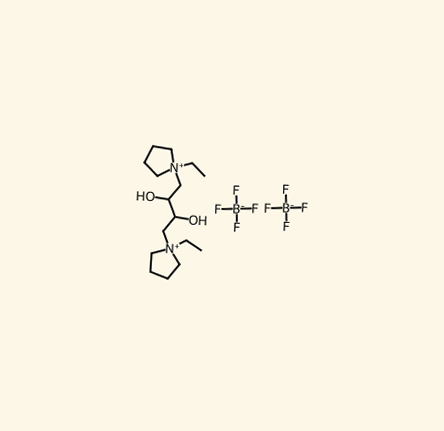 CC[N+]1(CC(O)C(O)C[N+]2(CC)CCCC2)CCCC1.F[B-](F)(F)F.F[B-](F)(F)F